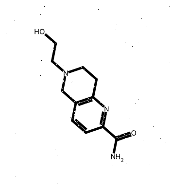 NC(=O)c1ccc2c(n1)CCN(CCO)C2